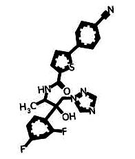 CC(NC(=O)c1ccc(-c2ccc(C#N)cc2)s1)C(O)(Cn1cncn1)c1ccc(F)cc1F